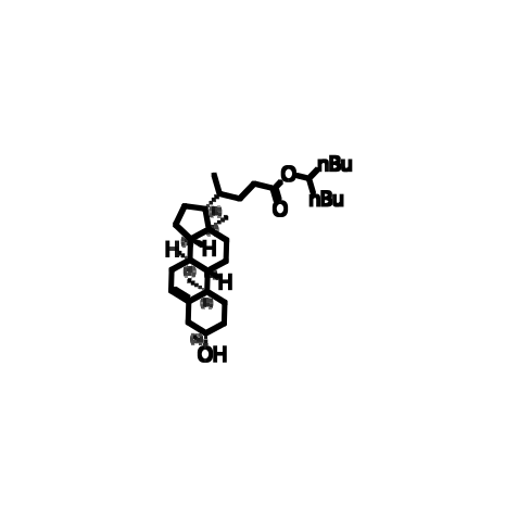 CCCCC(CCCC)OC(=O)CCC(C)[C@H]1CC[C@H]2[C@@H]3CC=C4C[C@@H](O)CC[C@]4(C)[C@H]3CC[C@]12C